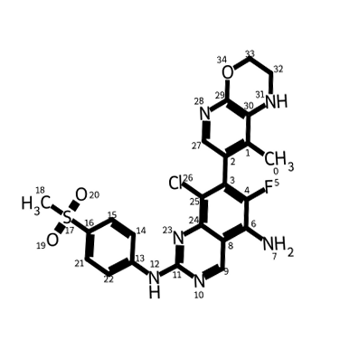 Cc1c(-c2c(F)c(N)c3cnc(Nc4ccc(S(C)(=O)=O)cc4)nc3c2Cl)cnc2c1NCCO2